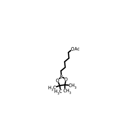 CC(=O)OCCCCCB1OC(C)(C)C(C)(C)O1